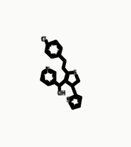 OC(C1=C(CCc2ccc(Cl)cc2)SCC1c1cccs1)c1cccnc1